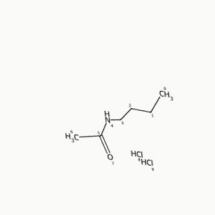 CCCCNC(C)=O.Cl.Cl